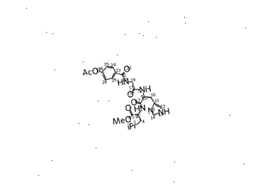 COC(=O)[C@H](CC(C)C)NC(=O)[C@H](Cc1c[nH]cn1)NC(=O)CNC(=O)c1ccc(OC(C)=O)cc1